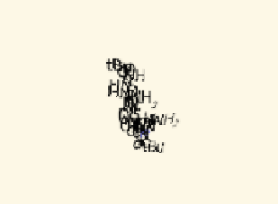 CC(=O)OC(=O)C1=C(C[n+]2cc(NC(=O)NCCNC(=O)OC(C)(C)C)c(N)n2C)CS[C@@H]2[C@H](NC(=O)/C(=N\OC(C)(C)C(=O)OC(C)(C)C)c3nsc(N)n3)C(=O)N12